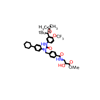 COC(=O)[C@H](O)CNC(=O)c1ccc(CN(C(=O)Nc2ccc(OC(F)(F)F)c(C(O[SiH](C)C)C(C)(C)C)c2)c2ccc(C3CCCCC3)cc2)cc1